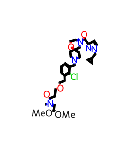 COC(CN(C)C(=O)CCOCCc1cccc(CN2CCC3(CC2)CN(C(=O)c2ccn(CC4CC4)n2)CCO3)c1Cl)OC